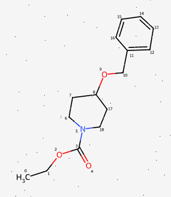 CCOC(=O)N1CCC(OCc2ccccc2)CC1